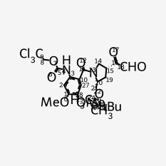 COc1cc(NC(=O)OCC(Cl)(Cl)Cl)c(C(=O)N2C[C@H](C(=O)C=O)C[C@H]2CO[Si](C)(C)C(C)(C)C)cc1OC